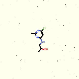 Cc1nc(Cl)cc(NCC(C)O)n1